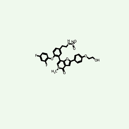 Cn1cc(-c2cc(CCN[SH](=O)=O)ccc2Oc2ccc(F)cc2F)c2oc(-c3ccc(OCCO)cc3)cc2c1=O